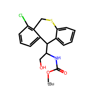 CC(C)(C)OC(=O)NC(CO)C1c2ccccc2SCc2c(Cl)cccc21